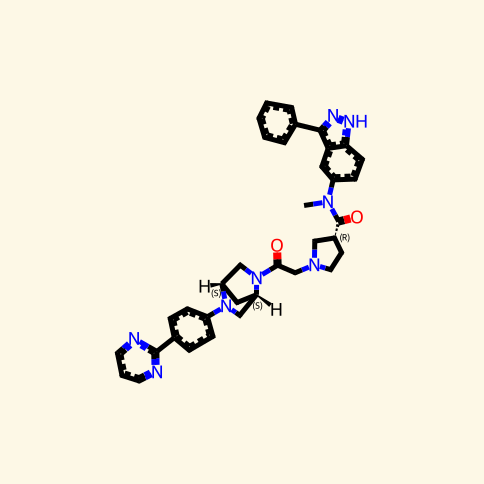 CN(C(=O)[C@@H]1CCN(CC(=O)N2C[C@@H]3C[C@H]2CN3c2ccc(-c3ncccn3)cc2)C1)c1ccc2[nH]nc(-c3ccccc3)c2c1